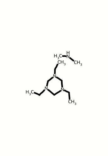 CCN1CN(CC)CN(CC)C1.CNC